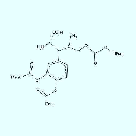 CCCC(C)OC(=O)OCC(C)C(c1ccc(OC(=O)C(C)CCC)c(OC(=O)C(C)CCC)c1)[C@H](N)C(=O)O